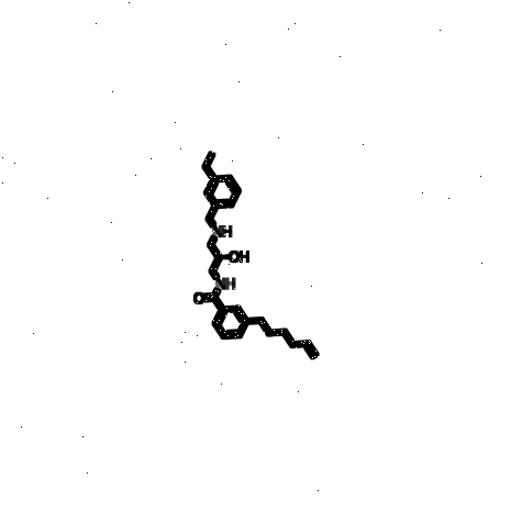 C=CCCCCc1cccc(C(=O)NC[C@H](O)CNCc2cccc(CC)c2)c1